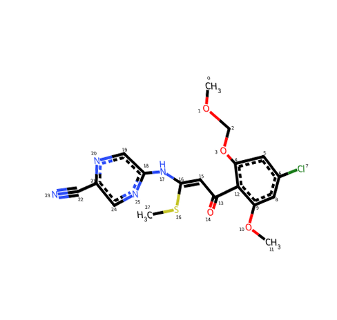 COCOc1cc(Cl)cc(OC)c1C(=O)C=C(Nc1cnc(C#N)cn1)SC